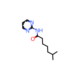 CC(C)CCCCC(=O)Nc1ncccn1